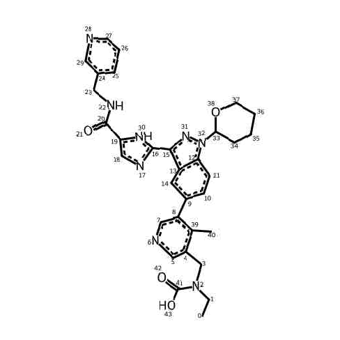 CCN(Cc1cncc(-c2ccc3c(c2)c(-c2ncc(C(=O)NCc4cccnc4)[nH]2)nn3C2CCCCO2)c1C)C(=O)O